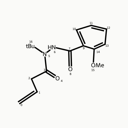 C=CCC(=O)N(NC(=O)c1ccccc1OC)C(C)(C)C